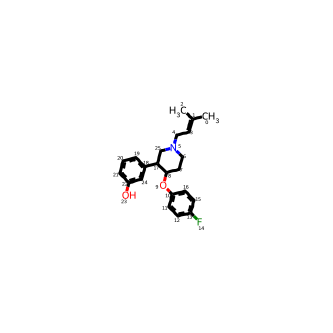 CC(C)=CCN1CCC(Oc2ccc(F)cc2)C(c2cccc(O)c2)C1